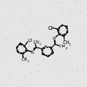 CC(=Nc1c(C)cccc1Cl)c1cccc(C(C)=Nc2c(C)cccc2Cl)n1